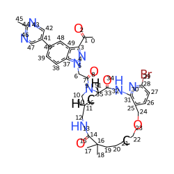 CC(=O)c1nn(CC(=O)N2C[C@H]3CNC(=O)C(C)(C)CCCCOCc4ccc(Br)nc4NC(=O)[C@@H]2C3)c2ccc(-c3cnc(C)nc3)cc12